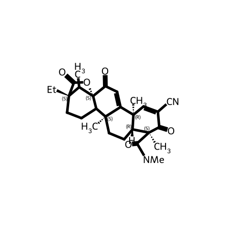 CC[C@@]12CCC3[C@](OC1=O)(C(=O)C=C1[C@@]3(C)CC[C@H]3[C@](C)(C(=O)NC)C(=O)C(C#N)=C[C@]13C)C2C